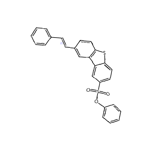 O=S(=O)(Oc1ccccc1)c1ccc2sc3ccc(/C=C/c4ccccc4)cc3c2c1